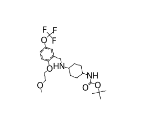 COCCOc1ccc(OC(F)(F)F)cc1CNC1CCC(NC(=O)OC(C)(C)C)CC1